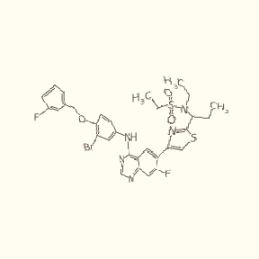 CCC(c1nc(-c2cc3c(Nc4ccc(OCc5cccc(F)c5)c(Br)c4)ncnc3cc2F)cs1)N(CC)S(=O)(=O)CC